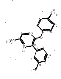 O=C(O)c1cnc(Oc2ccc(C(F)(F)F)cc2)c(-c2cccc(F)c2)n1